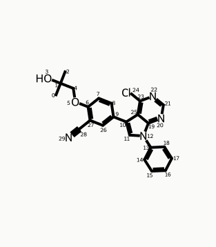 CC(C)(O)COc1ccc(-c2cn(-c3ccccc3)c3ncnc(Cl)c23)cc1C#N